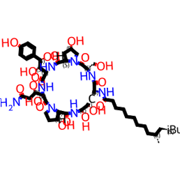 CC[C@H](C)C[C@H](C)CCCCCCCCC(=O)N[C@H]1C[C@@H](O)[C@@H](O)NC(=O)[C@@H]2[C@@H](O)CCN2C(=O)[C@](O)([C@H](O)CC(N)=O)NC(=O)[C@H]([C@H](O)[C@@H](O)c2ccc(O)cc2)NC(=O)[C@@H]2C[C@@H](O)CN2C(=O)[C@H](CO)NC1=O